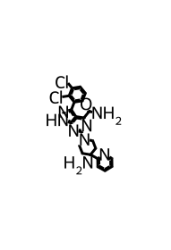 NC(=O)c1nc(N2CCC(N)(c3ccccn3)CC2)nc2[nH]nc(-c3cccc(Cl)c3Cl)c12